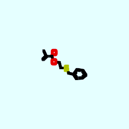 C=C(C)C(=O)OCCSCc1ccccc1